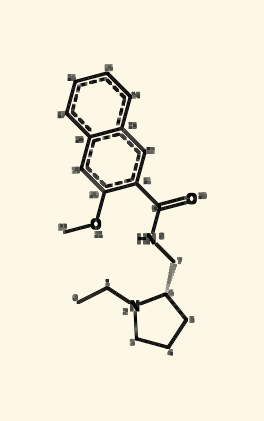 CCN1CCC[C@H]1CNC(=O)c1cc2ccccc2cc1OC